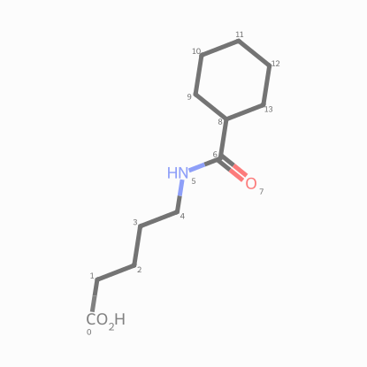 O=C(O)CCCCNC(=O)C1CCCCC1